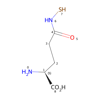 N[C@@H](CCC(=O)NS)C(=O)O